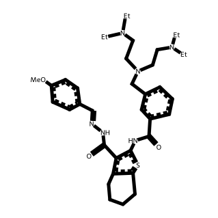 CCN(CC)CCN(CCN(CC)CC)Cc1cccc(C(=O)Nc2sc3c(c2C(=O)NN=Cc2ccc(OC)cc2)CCCC3)c1